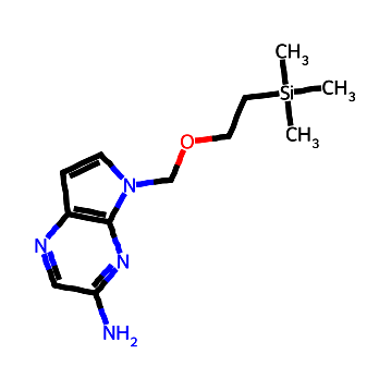 C[Si](C)(C)CCOCn1ccc2ncc(N)nc21